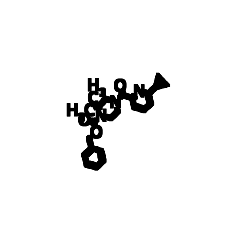 CC1(C)CN(C(=O)c2cccc(C3CC3)n2)CCN1C(=O)OCc1ccccc1